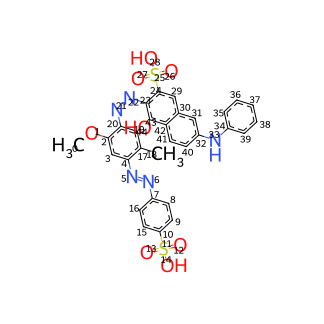 COc1cc(/N=N/c2ccc(S(=O)(=O)O)cc2)c(C)cc1/N=N\c1c(S(=O)(=O)O)cc2cc(Nc3ccccc3)ccc2c1O